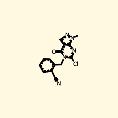 Cn1ncc2c(=O)n(Cc3ccccc3C#N)c(Cl)nc21